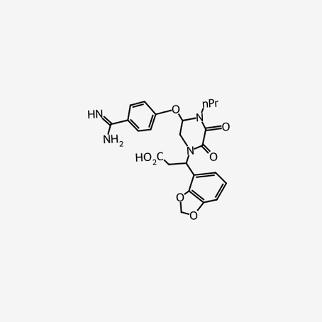 CCCN1C(=O)C(=O)N(C(CC(=O)O)c2cccc3c2OCO3)CC1Oc1ccc(C(=N)N)cc1